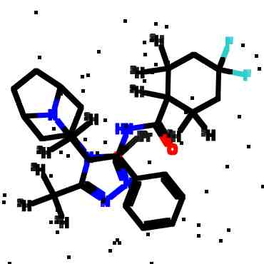 [2H]C([2H])([2H])c1nnc(C(C)C)n1C1CC2CCC(C1)N2C([2H])([2H])CC(NC(=O)C1([2H])C([2H])([2H])CC(F)(F)CC1([2H])[2H])c1ccccc1